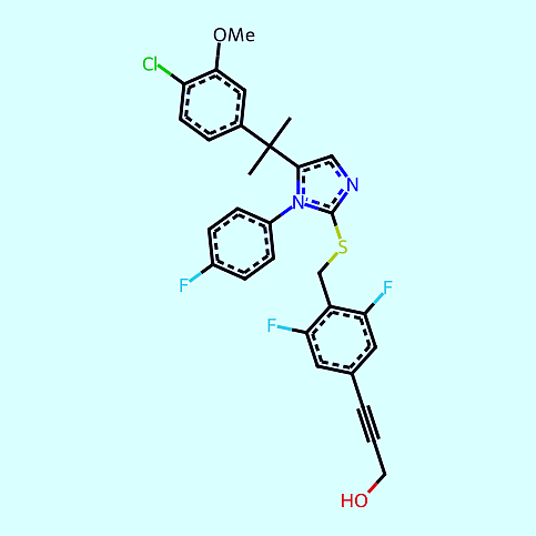 COc1cc(C(C)(C)c2cnc(SCc3c(F)cc(C#CCO)cc3F)n2-c2ccc(F)cc2)ccc1Cl